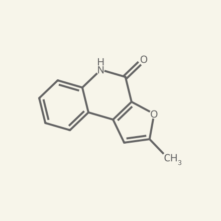 Cc1cc2c(o1)c(=O)[nH]c1ccccc12